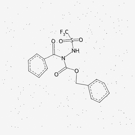 O=C(OCc1ccccc1)N(NS(=O)(=O)C(F)(F)F)C(=O)c1ccccc1